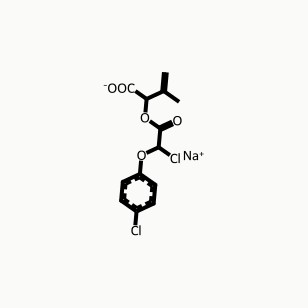 C=C(C)C(OC(=O)C(Cl)Oc1ccc(Cl)cc1)C(=O)[O-].[Na+]